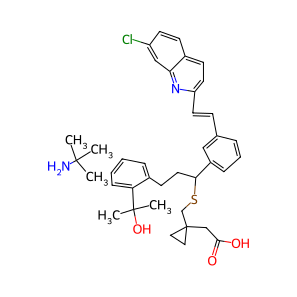 CC(C)(C)N.CC(C)(O)c1ccccc1CCC(SCC1(CC(=O)O)CC1)c1cccc(/C=C/c2ccc3ccc(Cl)cc3n2)c1